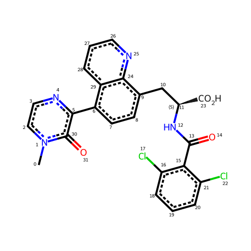 Cn1ccnc(-c2ccc(C[C@H](NC(=O)c3c(Cl)cccc3Cl)C(=O)O)c3ncccc23)c1=O